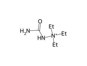 CC[N+](CC)(CC)NC(N)=O